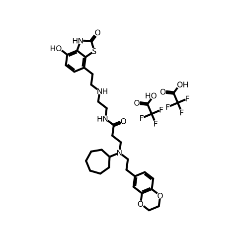 O=C(CCN(CCc1ccc2c(c1)OCCO2)C1CCCCCC1)NCCNCCc1ccc(O)c2[nH]c(=O)sc12.O=C(O)C(F)(F)F.O=C(O)C(F)(F)F